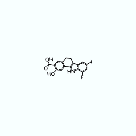 O=C(O)c1cc2c(cc1O)-c1[nH]c3c(F)cc(I)cc3c1CC2